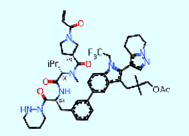 C=CC(=O)N1CC[C@H](C(=O)N(C)[C@H](C(=O)N[C@@H](Cc2cccc(-c3ccc4c(c3)c(CC(C)(C)COC(C)=O)c(-c3cnn5c3CCCC5)n4CC(F)(F)F)c2)C(=O)N2CCCCN2)C(C)C)C1